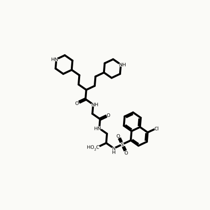 O=C(CNC(=O)C(CCC1CCNCC1)CCC1CCNCC1)NCC(NS(=O)(=O)c1ccc(Cl)c2ccccc12)C(=O)O